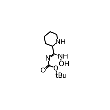 CC(C)(C)OC(=O)N=C(NO)C1CCCCN1